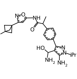 CC(C(=O)Nc1cc(C23CC(C)(C2)C3)no1)c1ccc(-c2nn(C(C)C)c(N)c2C(N)O)cc1